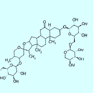 CC1COC2(CC1O[C@@H]1O[C@H](CO)[C@@H](O)[C@H](O)[C@H]1O)OC1CC3C4CC(=O)[C@H]5CC(O[C@@H]6O[C@H](CO[C@@H]7OC[C@H](O)[C@H](O)[C@H]7O)[C@@H](O)[C@H](O)[C@H]6O)CCC5(C)C4CCC3(C)C1C2C